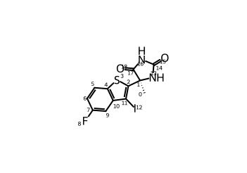 C[C@@]1(c2sc3ccc(F)cc3c2I)NC(=O)NC1=O